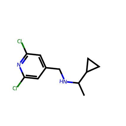 CC(NCc1cc(Cl)nc(Cl)c1)C1CC1